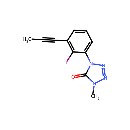 CC#Cc1cccc(-n2nnn(C)c2=O)c1I